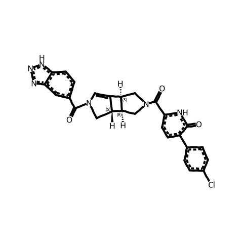 O=C(c1ccc2[nH]nnc2c1)N1C=C2[C@@H](C1)[C@@H]1CN(C(=O)c3ccc(-c4ccc(Cl)cc4)c(=O)[nH]3)C[C@H]21